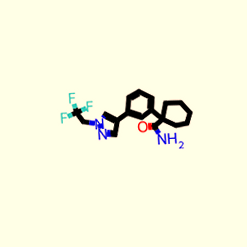 NC(=O)C1(c2cccc(-c3cnn(CC(F)(F)F)c3)c2)CCCCC1